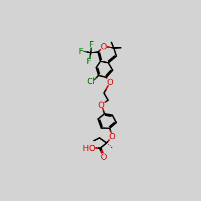 CC[C@@](C)(Oc1ccc(OCCOc2cc3c(cc2Cl)=C(C(F)(F)F)OC(C)(C)C=3)cc1)C(=O)O